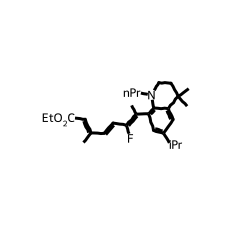 CCCN1CCC(C)(C)c2cc(C(C)C)cc(C(C)=C(F)C=CC(C)=CC(=O)OCC)c21